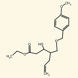 C=CCC(COCc1ccc(OC)cc1)C(O)CC(=O)OCC